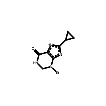 CCN1CNC(=O)c2[nH]c(C3CC3)nc21